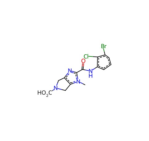 Cn1c(C(=O)Nc2cccc(Br)c2Cl)nc2c1CN(C(=O)O)C2